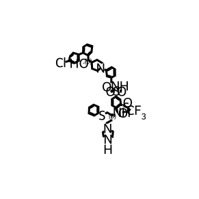 O=C(NS(=O)(=O)c1ccc(N[C@H](CCN2CCNCC2)CSc2ccccc2)c(S(=O)(=O)C(F)(F)F)c1)c1cccc(N2CCC([C@H](O)c3ccccc3-c3ccc(Cl)cc3)CC2)c1